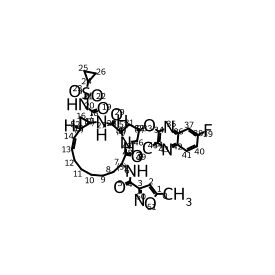 Cc1cc(C(=O)N[C@H]2CCCCCC=C[C@@H]3C[C@@]3(C(=O)NS(=O)(=O)C3CC3)NC(=O)[C@@H]3C[C@@H](Oc4nc5cc(F)ccc5nc4C)CN3C2=O)no1